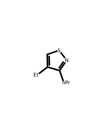 CCCc1nscc1CC